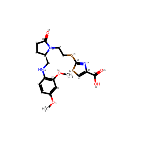 COc1ccc(NC[C@H]2CCC(=O)N2CCSc2nc(C(=O)O)cs2)c(OC)c1